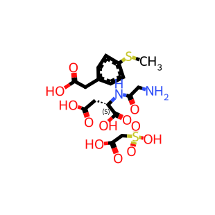 CSc1ccc(CC(=O)O)cc1.NCC(=O)N[C@@H](CC(=O)O)C(=O)O.O=C(O)CS(=O)(=O)O